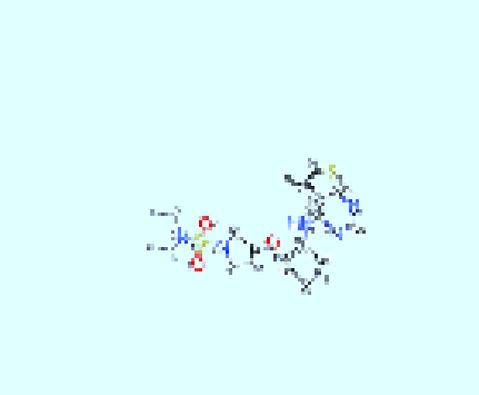 CCN(CC)S(=O)(=O)N1CCC(Oc2ccccc2Nc2ncnc3scc(C)c23)C1